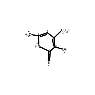 Cc1cc(C(=O)O)c(O)c(=S)[nH]1